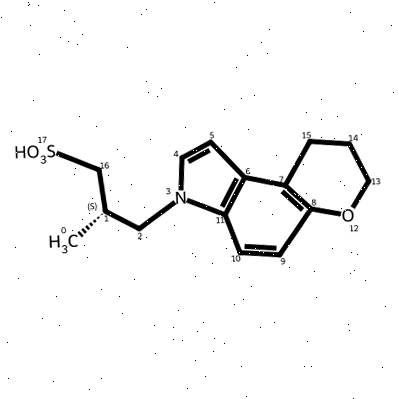 C[C@@H](Cn1ccc2c3c(ccc21)OCCC3)CS(=O)(=O)O